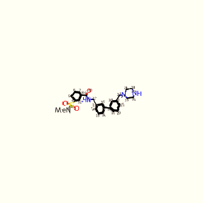 CNS(=O)(=O)c1cccc(C(=O)NCc2cccc(-c3cccc(CN4CCNCC4)c3)c2)c1